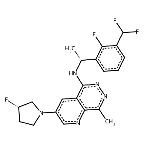 Cc1nnc(N[C@H](C)c2cccc(C(F)F)c2F)c2cc(N3CC[C@H](F)C3)cnc12